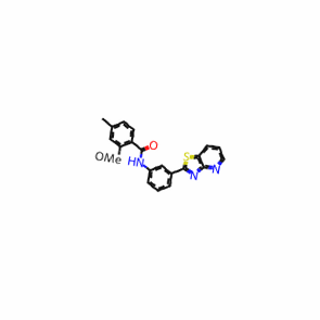 COc1cc(C)ccc1C(=O)Nc1cccc(-c2nc3ncccc3s2)c1